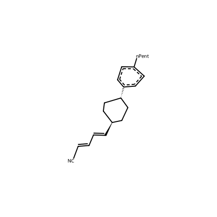 CCCCCc1ccc([C@H]2CC[C@H](C=CC=CC#N)CC2)cc1